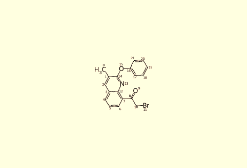 Cc1cc2cccc(C(=O)CBr)c2nc1Oc1ccccc1